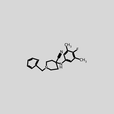 Cc1cc(NC2(C#N)CCN(Cc3ccccc3)CC2)cc(C)c1F